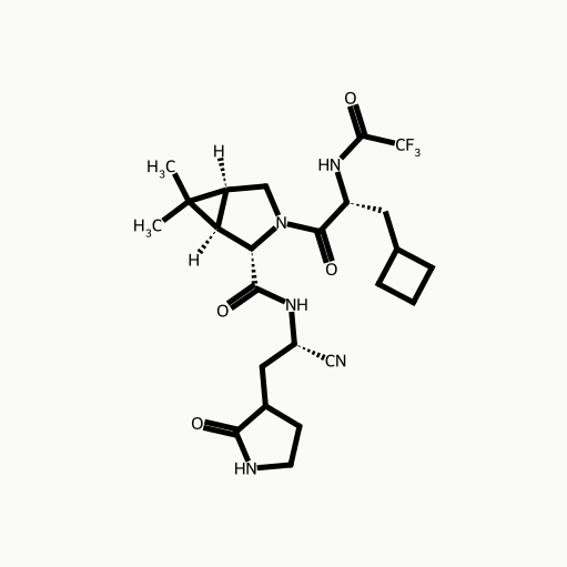 CC1(C)[C@@H]2[C@@H](C(=O)N[C@H](C#N)CC3CCNC3=O)N(C(=O)[C@@H](CC3CCC3)NC(=O)C(F)(F)F)C[C@@H]21